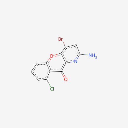 Nc1cc(Br)c2oc3cccc(Cl)c3c(=O)c2n1